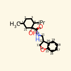 CC1CCC(C(C)C)[C@@](O)(C(=O)NCC2COc3ccccc32)C1